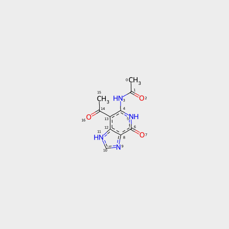 CC(=O)Nc1[nH]c(=O)c2nc[nH]c2c1C(C)=O